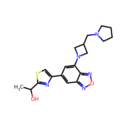 CC(O)c1nc(-c2cc(N3CC(CN4CCCC4)C3)c3nonc3c2)cs1